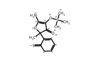 CC1(C2=CC=CCC2=S)OC(N)=C(O[Si](C)(C)C)C1=O